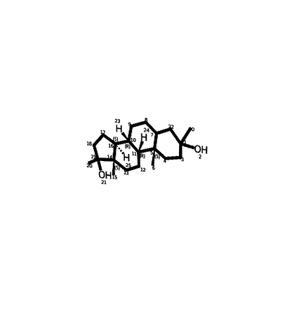 CC1(O)CC[C@@]2(C)C(CC[C@@H]3[C@H]2CC[C@@]2(C)[C@H]3CCC2(C)O)C1